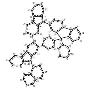 c1ccc(C2(c3ccccc3)c3ccccc3-c3ccc(-n4c5ccccc5c5ccc(-c6ccc7c(c6)c6ccccc6n7-c6cccc7ccccc67)cc54)cc32)cc1